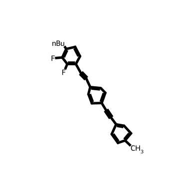 CCCCc1ccc(C#Cc2ccc(C#Cc3ccc(C)cc3)cc2)c(F)c1F